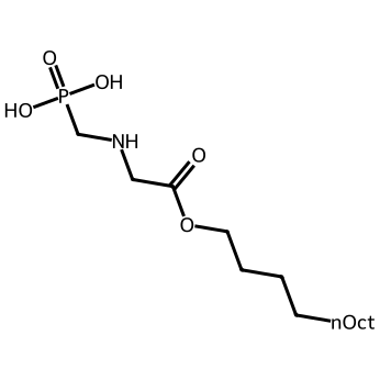 CCCCCCCCCCCCOC(=O)CNCP(=O)(O)O